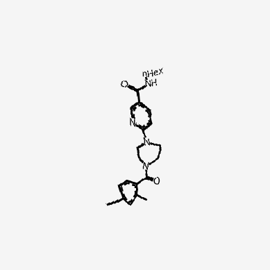 CCCCCCNC(=O)c1ccc(N2CCN(C(=O)c3ccc(C)cc3C)CC2)nc1